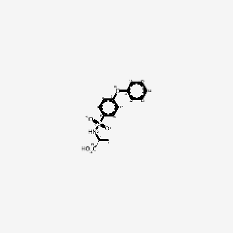 C[C@@H](NS(=O)(=O)c1ccc(Oc2ccccc2)cc1)C(=O)O